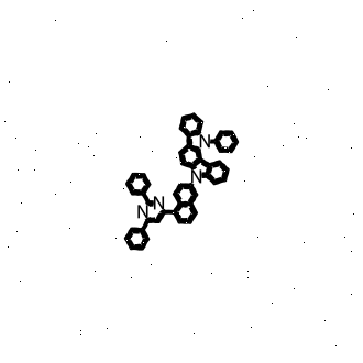 c1ccc(-c2cc(-c3cccc4cc(-n5c6ccccc6c6c5ccc5c7ccccc7n(-c7ccccc7)c56)ccc34)nc(-c3ccccc3)n2)cc1